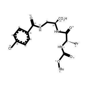 CC(C)[C@H](NC(=O)OC(C)(C)C)C(=O)N[C@@H](CNC(=O)c1ccc(Cl)cc1)C(=O)O